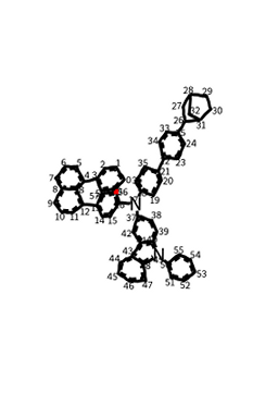 c1ccc(-c2cccc3cccc(-c4ccc(N(c5ccc(-c6ccc(C7CC8CCC7C8)cc6)cc5)c5ccc6c(c5)c5ccccc5n6-c5ccccc5)cc4)c23)cc1